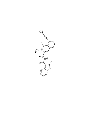 Cc1nn2cccnc2c1C(=O)N[C@@H](C)c1cc2cccc(C#CC3CC3)c2c(=O)n1C1CC1